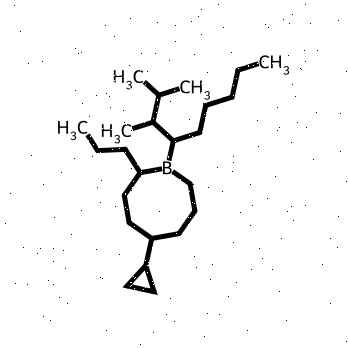 CCCCCC(B1CCCC(C2CC2)CCC1CCC)C(C)C(C)C